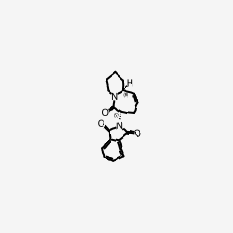 O=C1[C@@H](N2C(=O)c3ccccc3C2=O)CC=C[C@H]2CCCCN12